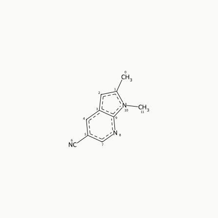 Cc1cc2cc(C#N)cnc2n1C